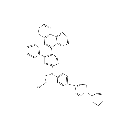 CC(C)CCN(c1ccc(-c2ccc(C3=CCCC=C3)cc2)cc1)c1ccc(-c2cc3c(c4ccccc24)C=CCC3)c(-c2ccccc2)c1